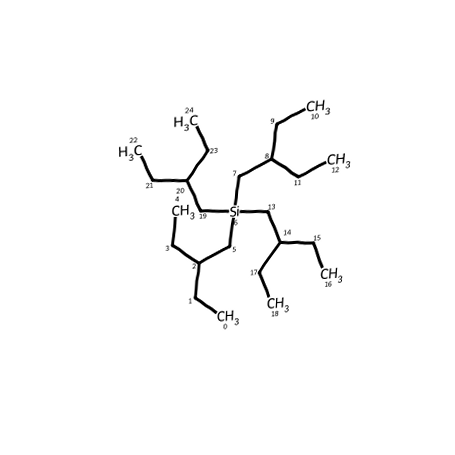 CCC(CC)C[Si](CC(CC)CC)(CC(CC)CC)CC(CC)CC